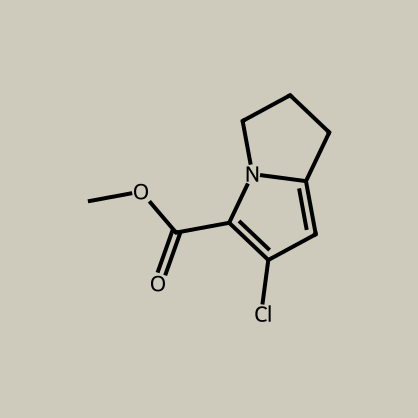 COC(=O)c1c(Cl)cc2n1CCC2